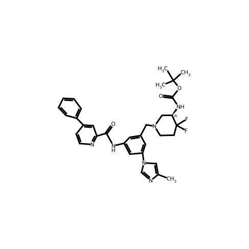 Cc1cn(-c2cc(CN3CCC(F)(F)[C@H](NC(=O)OC(C)(C)C)C3)cc(NC(=O)c3cc(-c4ccccc4)ccn3)c2)cn1